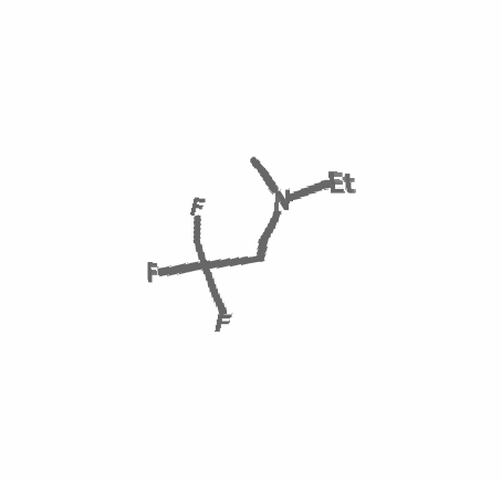 CCN(C)CC(F)(F)F